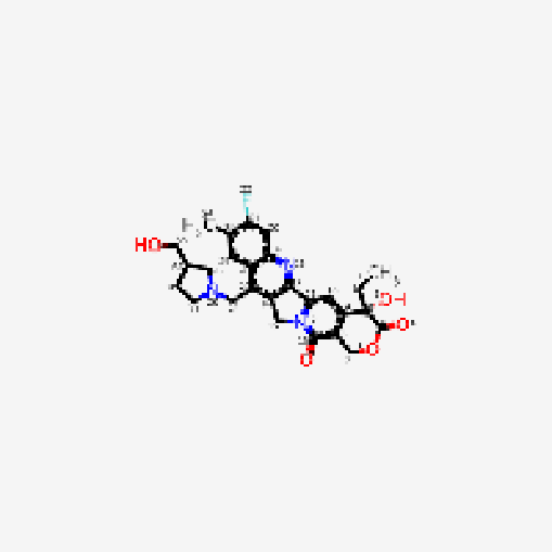 CC[C@@]1(O)C(=O)OCc2c1cc1n(c2=O)Cc2c-1nc1cc(F)c(C)cc1c2CN1CCC(CO)C1